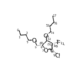 CCCCOC[C@H]1O[C@@H](Cl)[C@@H](F)C1OCCCC